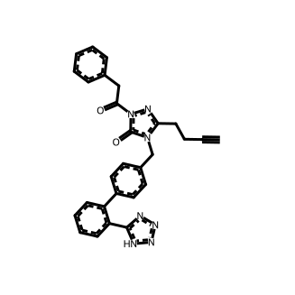 C#CCCc1nn(C(=O)Cc2ccccc2)c(=O)n1Cc1ccc(-c2ccccc2-c2nnn[nH]2)cc1